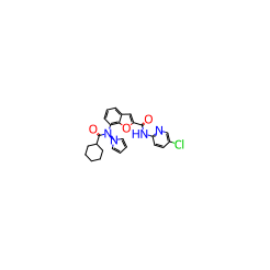 O=C(Nc1ccc(Cl)cn1)c1cc2cccc(N(C(=O)C3CCCCC3)n3cccc3)c2o1